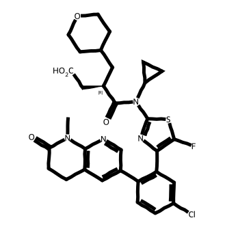 CN1C(=O)CCc2cc(-c3ccc(Cl)cc3-c3nc(N(C(=O)[C@@H](CC(=O)O)CC4CCOCC4)C4CC4)sc3F)cnc21